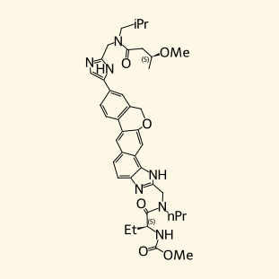 CCCN(Cc1nc2ccc3cc4c(cc3c2[nH]1)OCc1cc(-c2cnc(CN(CC(C)C)C(=O)C[C@H](C)OC)[nH]2)ccc1-4)C(=O)[C@H](CC)NC(=O)OC